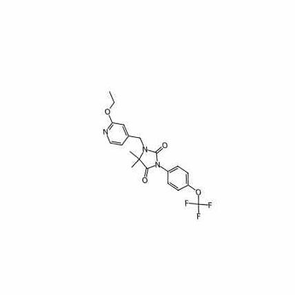 CCOc1cc(CN2C(=O)N(c3ccc(OC(F)(F)F)cc3)C(=O)C2(C)C)ccn1